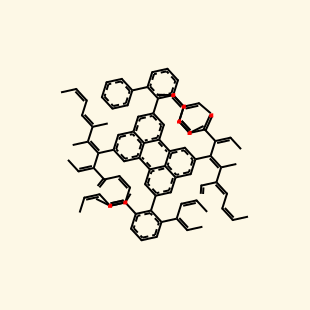 C=CC(=C\C=C/C)/C(C)=C(/C(=C\C)C(=C)/C=C\C=C/C)c1cc2cc(-c3c(/C(C)=C/C=C\C)cccc3C(/C=C\C)=C/C)cc3c4cc(C(/C(=C\C)C(=C)/C=C\C=C/C)=C(C)\C(C)=C\C=C/C)cc5cc(-c6c(C(/C=C\C)=C/C)cccc6-c6ccccc6)cc(c(c1)c23)c54